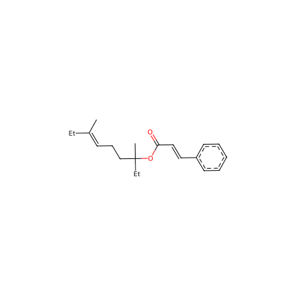 CCC(C)=CCCC(C)(CC)OC(=O)C=Cc1ccccc1